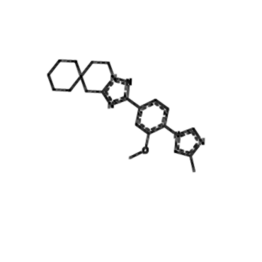 COc1cc(-c2nc3n(n2)CCC2(CCCCC2)C3)ccc1-n1cnc(C)c1